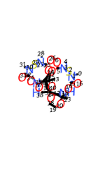 CN1SN(C)C(=O)OC2(/C=C\CC3(NOC1=O)OCCOC3(C)C)OC(=O)N(C)SN(C)C(=O)ONC21OCCOC1(C)C